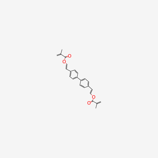 C=C(C)C(=O)O/C=C/c1ccc(-c2ccc(/C=C/OC(=O)C(=C)C)cc2)cc1